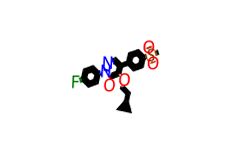 CS(=O)(=O)c1ccc(-c2cnn(-c3ccc(F)cc3)c(=O)c2OCCC2CC2)cc1